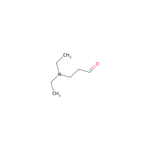 C[CH2][Al]([CH2]C)[CH2]CC=O